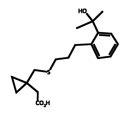 CC(C)(O)c1ccccc1CCCSCC1(CC(=O)O)CC1